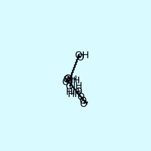 CC(C)C(=O)COCCOCCNC(=O)NCCCCNC(=O)CC[C@H](NC(=O)CCCCCCCCCCCCCCCCC(=O)O)C(=O)O